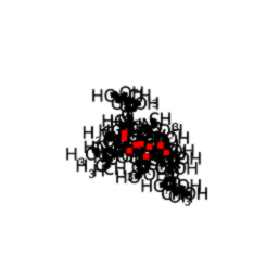 CC(=O)NC1[C@H](OC2[C@H](OCC3O[C@@H](O[C@@H]4C(CO)O[C@@H](O[C@@H]5C(CO)O[C@@H](C(C)C)C(NC(C)=O)[C@H]5O)C(NC(C)=O)[C@H]4O)C(O)[C@@H](O[C@H]4OC(CO)[C@@H](O)[C@H](O)C4O[C@@H]4OC(CO)[C@@H](O[C@@H]5OC(CO[C@@H]6CC(O)[C@@H](C)C(C(O)C(O)CO)O6)[C@H](O)[C@H](O)C5O)[C@H](O)C4C)[C@@H]3O)OC(CO)[C@@H](O)[C@@H]2O)OC(CO)[C@@H](O[C@@H]2OC(CO[C@@H]3CC(O)[C@@H](C)C(C(O)C(O)CO)O3)[C@H](O)[C@H](O)C2O)[C@@H]1O